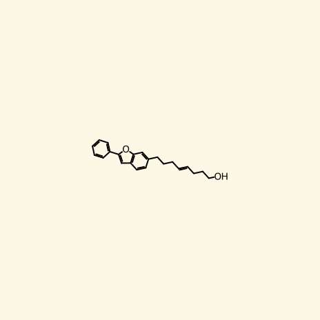 OCCC/C=C/CCCc1ccc2cc(-c3ccccc3)oc2c1